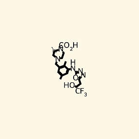 Cc1cc(CN2CCN(C(=O)O)[C@@H](C)C2)c(C)c(Nc2nnc(CC(O)C(F)(F)F)o2)c1